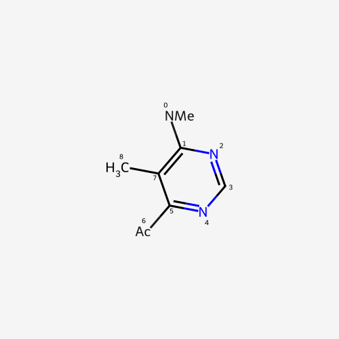 CNc1ncnc(C(C)=O)c1C